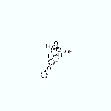 C[C@]12CC[C@@H]3c4ccc(OCc5ccccc5)cc4CC[C@H]3[C@@H]1[C@@H](CO)CC2=O